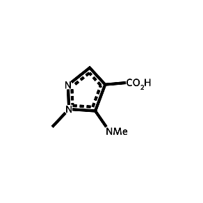 CNc1c(C(=O)O)cnn1C